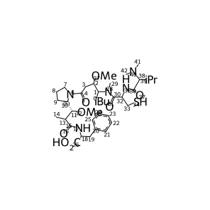 CCC(C)C(C(CC(=O)N1CCC[C@H]1C(OC)C(C)C(=O)NC(Cc1ccccc1)C(=O)O)OC)N(C)C(=O)C(CS)NC(=O)C(C(C)C)N(C)C